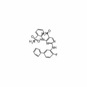 NC(=O)c1cnc(Nc2cc(-c3ccccc3)ccc2F)nc1Nc1ccccc1S(N)(=O)=O